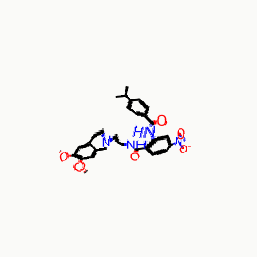 COc1cc2c(cc1OC)CN(CCNC(=O)c1ccc([N+](=O)[O-])cc1NC(=O)c1ccc(C(C)C)cc1)CC2